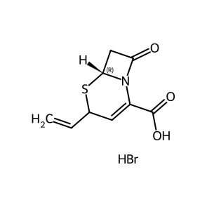 Br.C=CC1C=C(C(=O)O)N2C(=O)C[C@H]2S1